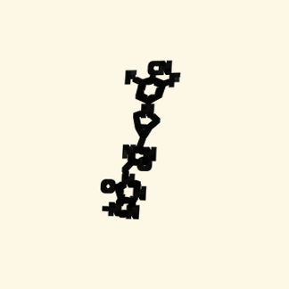 Cn1cnc2ncn(Cc3nc(C4C5CN(c6cc(F)c(C#N)c(F)c6)CC54)no3)c(=O)c21